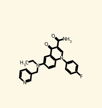 CCN(Cc1cccnc1)c1ccc2c(c1)c(=O)c(C(N)=O)cn2-c1ccc(F)cc1